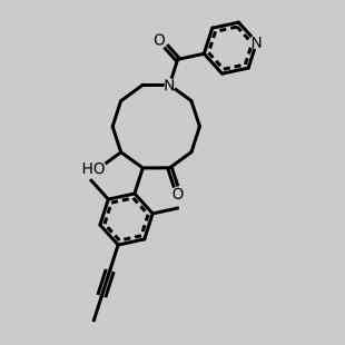 CC#Cc1cc(C)c(C2C(=O)CCCN(C(=O)c3ccncc3)CCCC2O)c(C)c1